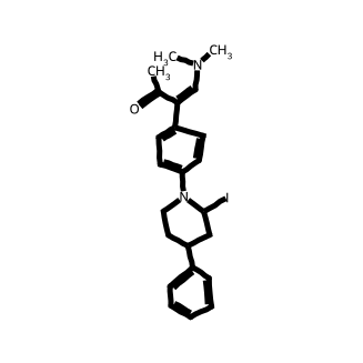 CC(=O)C(=CN(C)C)c1ccc(N2CCC(c3ccccc3)CC2I)cc1